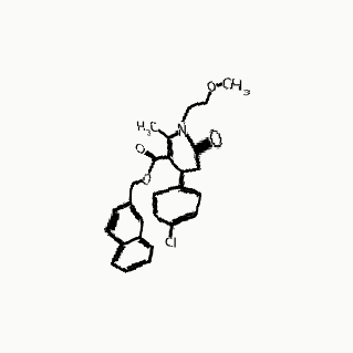 COCCN1C(=O)CC(c2ccc(Cl)cc2)C(C(=O)OCc2ccc3ccccc3c2)=C1C